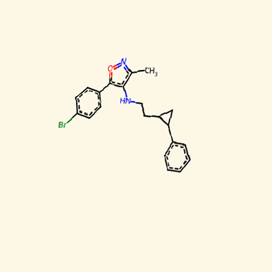 Cc1noc(-c2ccc(Br)cc2)c1NCCC1CC1c1ccccc1